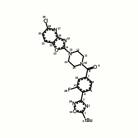 CC(C)(C)c1nc(-c2ccc(C(=O)N3CCN(c4nc5nc(Cl)ccc5o4)CC3)cc2F)no1